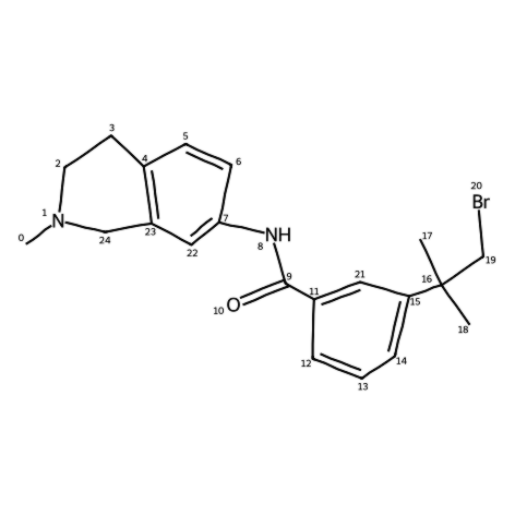 CN1CCc2ccc(NC(=O)c3cccc(C(C)(C)CBr)c3)cc2C1